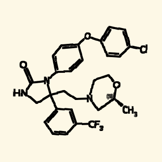 C[C@H]1CN(CCC2(c3cccc(C(F)(F)F)c3)CNC(=O)N2c2ccc(Oc3ccc(Cl)cc3)cc2)CCO1